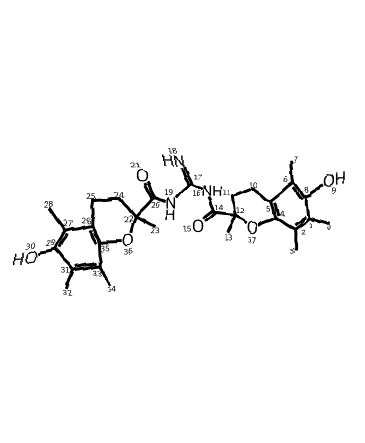 Cc1c(C)c2c(c(C)c1O)CCC(C)(C(=O)NC(=N)NC(=O)C1(C)CCc3c(C)c(O)c(C)c(C)c3O1)O2